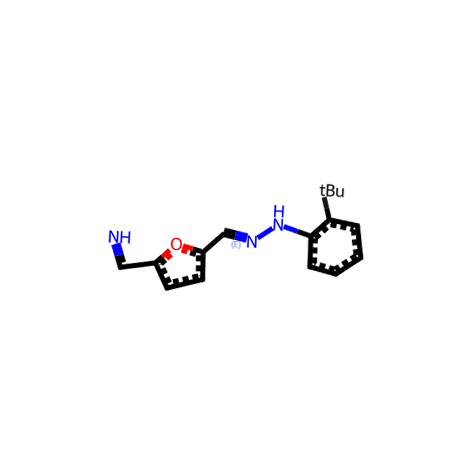 CC(C)(C)c1ccccc1N/N=C/c1ccc(C=N)o1